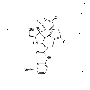 CSc1cccc(NC(=O)O[C@H]2N[C@@H](CC(C)(C)C)[C@](C#N)(c3ccc(Cl)cc3F)[C@H]2c2cccc(Cl)c2F)c1